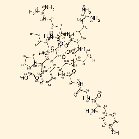 CCC(C)C(NC(=O)C(CCCN=C(N)N)NC(=O)C(CCCN=C(N)N)NC(=O)C(CC(C)C)NC(=O)C(Cc1ccccc1)NC(=O)CNC(=O)CNC(=O)C(N)Cc1ccc(O)cc1)C(=O)NC(CCCN=C(N)N)C(=O)N1CCCC1C(=O)O